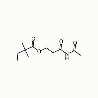 CCC(C)(C)C(=O)OCCC(=O)NC(C)=O